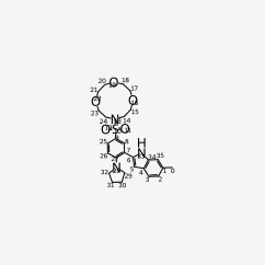 Cc1ccc2cc(-c3cc(S(=O)(=O)N4CCOCCOCCOCC4)ccc3N3CCCC3)[nH]c2c1